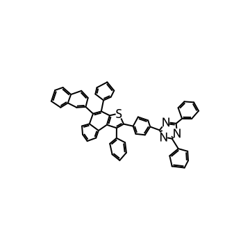 c1ccc(-c2nc(-c3ccccc3)nc(-c3ccc(-c4sc5c(-c6ccccc6)c(-c6ccc7ccccc7c6)c6ccccc6c5c4-c4ccccc4)cc3)n2)cc1